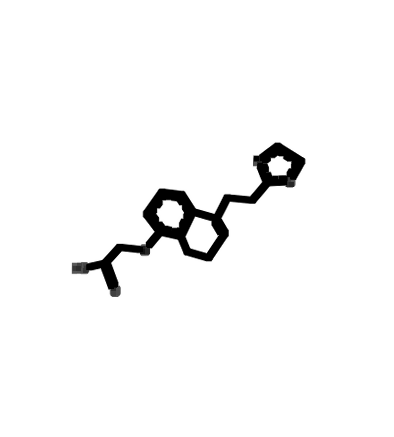 O=C(O)COc1cccc2c1CCC=C2CCc1ncco1